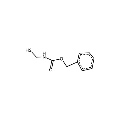 O=C(NCS)OCc1ccccc1